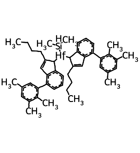 CCCCC1=Cc2c(-c3cc(C)cc(C)c3C)cccc2[CH]1[Hf]([CH]1C(CCCC)=Cc2c(-c3cc(C)cc(C)c3C)cccc21)[SiH](C)C